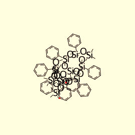 C[Si](C)(C)O[Si]1(c2ccccc2)O[Si]2(c3ccccc3)O[Si](O[Si](C)(C)C)(c3ccccc3)O[Si](c3ccccc3)(O1)O[Si]1(c3ccccc3)O[Si](O[Si](C)(C)C)(c3ccccc3)O[Si](c3ccccc3)(O[Si](O[Si](C)(C)C)(c3ccccc3)O1)O2